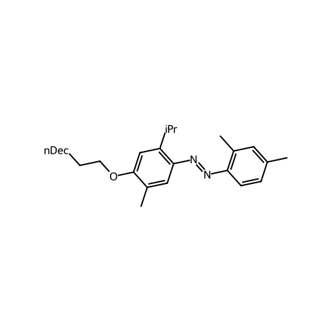 CCCCCCCCCCCCOc1cc(C(C)C)c(/N=N/c2ccc(C)cc2C)cc1C